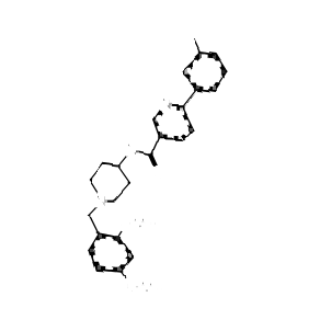 COc1ccc(CN2CCC(NC(=O)c3ccc(-c4cccc(F)c4)nc3)CC2)c(OC)c1